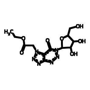 CCOC(=O)Cn1nnc2nnn(C3OC(CO)C(O)C3O)c(=O)c21